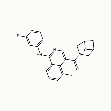 Cc1cccc2c(Nc3cccc(F)c3)ncc(C(=O)N3CC4CC(C3)O4)c12